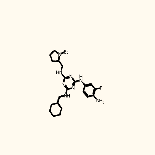 CCN1CCCC1CNc1nc(NCC2CCCCC2)nc(Nc2ccc(N)c(F)c2)n1